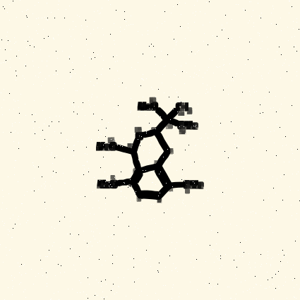 COc1ccc(OC)c2c1CC(C(C)(OC)OC)OC2OC